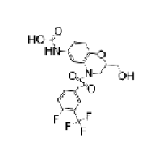 O=C(O)Nc1ccc2c(c1)N(S(=O)(=O)c1ccc(F)c(C(F)(F)F)c1)CC(CO)O2